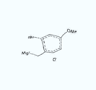 COc1ccc([CH2][Mg+])c(C(C)(C)C)c1.[Cl-]